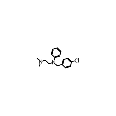 CN(C)CCN(Cc1ccc(Cl)cc1)c1ccccc1